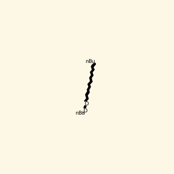 CCCCC=CCCCCCCCCC=CCCOCOCCCC